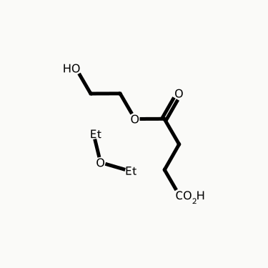 CCOCC.O=C(O)CCC(=O)OCCO